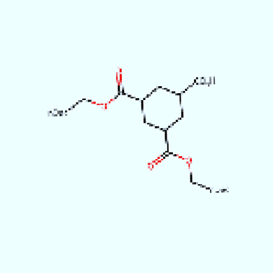 CCCCCCCCCCCOC(=O)C1CC(C(=O)O)CC(C(=O)OCCCCCCCCCCC)C1